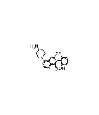 NC1CCN(c2ncnc3c(=O)n(-c4c(O)cccc4F)c(C(F)(F)F)cc23)CC1